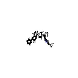 CN(C)C/C=C/C(=O)N1CCN(c2ncnc3cc(-c4ccccc4)c(Cl)cc23)CC1